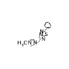 CN1CCN(Cc2cn3nc(-c4ccccc4)sc3n2)CC1